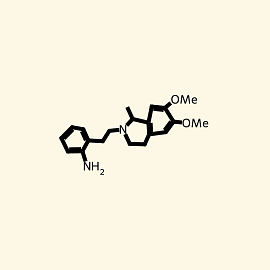 COc1cc2c(cc1OC)C(C)N(CCc1ccccc1N)CC2